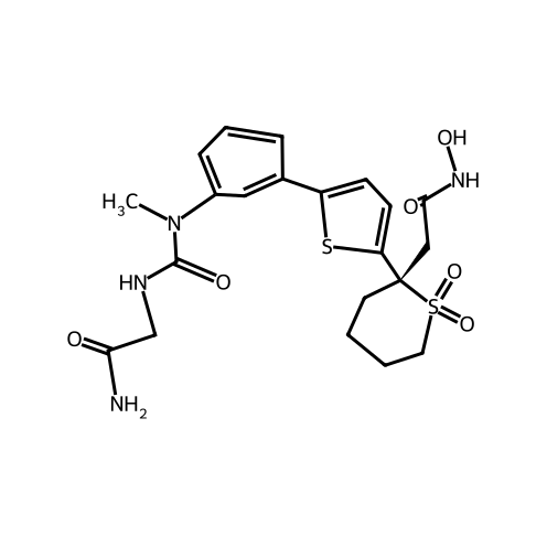 CN(C(=O)NCC(N)=O)c1cccc(-c2ccc([C@@]3(CC(=O)NO)CCCCS3(=O)=O)s2)c1